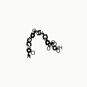 N#Cc1ccc(N2CCC3(CC2)CCN(c2ccc(C(=O)N4CCN(CC5CCN(c6ccc7c(c6)C(=O)N(C6CCC(=O)NC6=O)C7=O)CC5)CC4)cc2)C3)cc1Cl